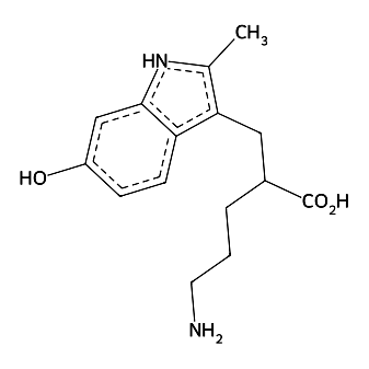 Cc1[nH]c2cc(O)ccc2c1CC(CCCN)C(=O)O